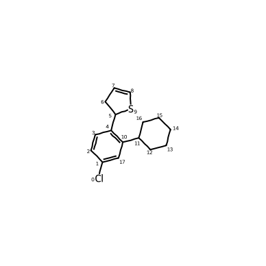 Clc1ccc(C2CC=CS2)c(C2CCCCC2)c1